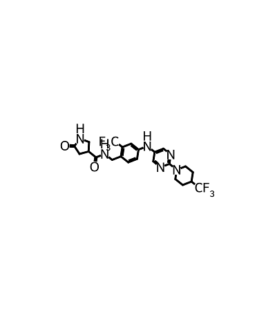 O=C1CC(C(=O)NCc2ccc(Nc3cnc(N4CCC(C(F)(F)F)CC4)nc3)cc2C(F)(F)F)CN1